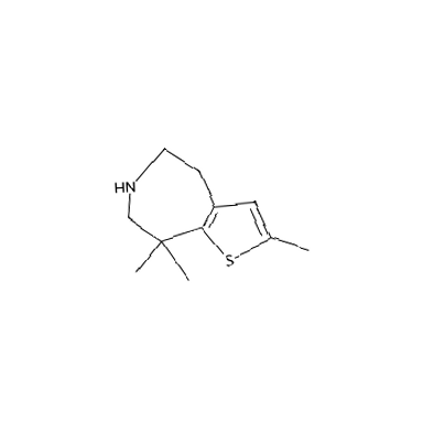 Cc1cc2c(s1)C(C)(C)CNCC2